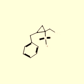 CCC1(S(N)(=O)=O)CC1Cc1ccccc1